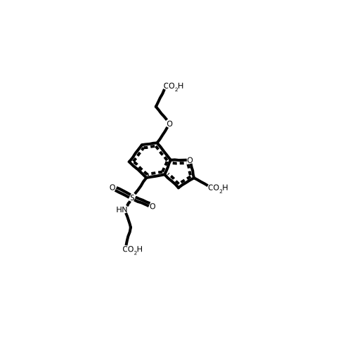 O=C(O)CNS(=O)(=O)c1ccc(OCC(=O)O)c2oc(C(=O)O)cc12